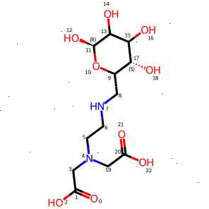 O=C(O)CN(CCNCC1O[C@@H](O)C(O)C(O)[C@@H]1O)CC(=O)O